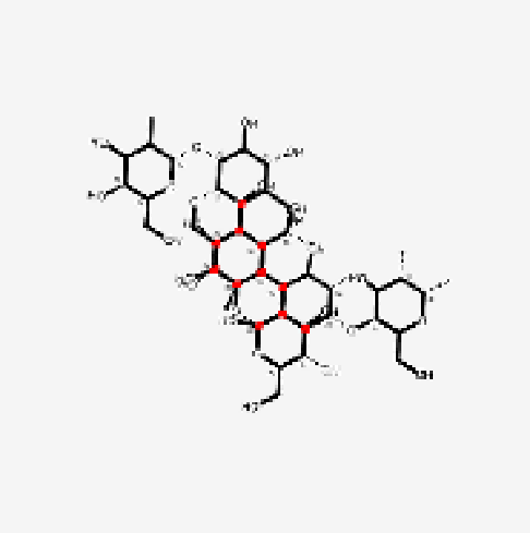 CC1C(O)[C@H](O)[C@H](CO)O[C@H]1O[C@@H]1C(O)[C@H](O)C(CO)O[C@@H]1OCC(O[C@@H](O[C@@H]1C(CO)O[C@@H](O[C@@H]2C(CO)O[C@@H](C)[C@@H](C)C2O)[C@@H](C)C1O)[C@@H](C)O)[C@@H](O)CO[C@H]1O[C@H](CO)[C@@H](O)C(O)C1O[C@@H]1OC(CO)[C@@H](O)C(O)[C@@H]1C